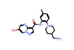 Cc1ccc(N2CCC(CN)CC2)c(NC(=O)c2cnn3cc(O)cnc23)c1